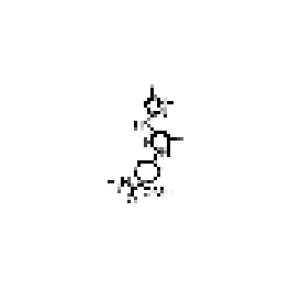 COC1(C(N)=O)CCC(c2nc(C)cc(Nc3cc(C)[nH]n3)n2)CC1